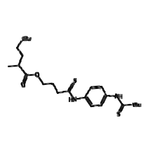 CC(CCC(C)(C)C)C(=O)OCCCC(=S)Nc1ccc(NC(=S)C(C)(C)C)cc1